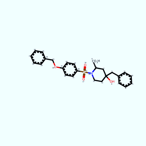 O=C(O)C1CC(O)(Cc2ccccc2)CCN1S(=O)(=O)c1ccc(OCc2ccccc2)cc1